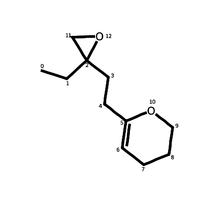 CCC1(CCC2=CCCCO2)CO1